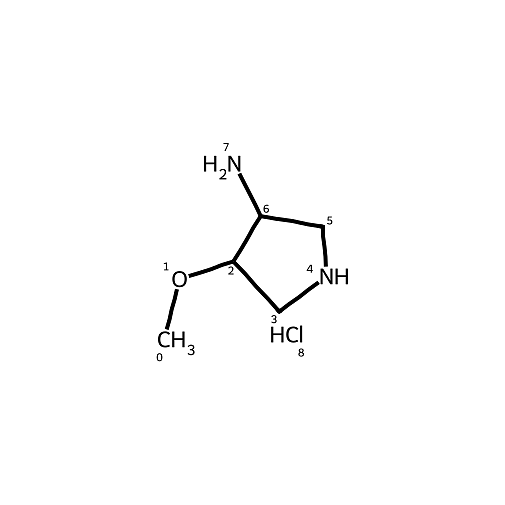 COC1CNCC1N.Cl